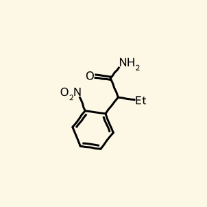 CCC(C(N)=O)c1ccccc1[N+](=O)[O-]